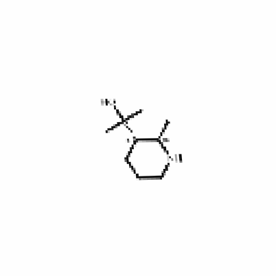 C[C@H]1NCCC[C@@H]1C(C)(C)O